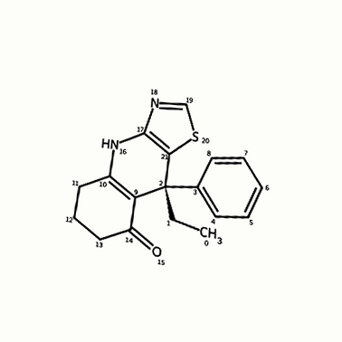 CC[C@@]1(c2ccccc2)C2=C(CCCC2=O)Nc2ncsc21